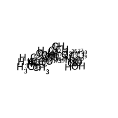 CC(OC(C)(C)C)C(=O)C(C)(C)C(C)(C)OCCC(CC(=O)Nc1ccc2ccccc2c1S(=O)(=O)O)CC(=O)C(C)(C)C